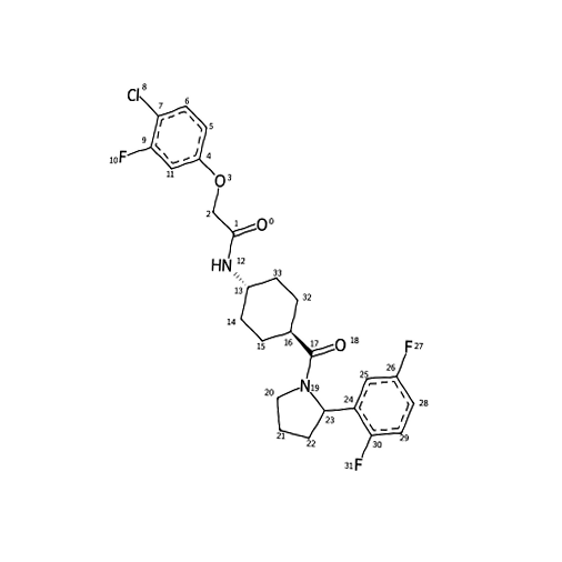 O=C(COc1ccc(Cl)c(F)c1)N[C@H]1CC[C@H](C(=O)N2CCCC2c2cc(F)ccc2F)CC1